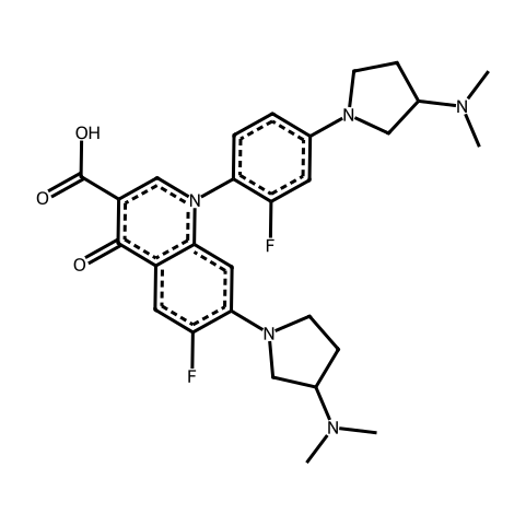 CN(C)C1CCN(c2ccc(-n3cc(C(=O)O)c(=O)c4cc(F)c(N5CCC(N(C)C)C5)cc43)c(F)c2)C1